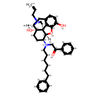 C=CCN1CC[C@]23c4c5ccc(O)c4O[C@H]2[C@@H](N(CCCCCCc2ccccc2)CC(=O)c2ccccc2)CC[C@@]3(O)[C@H]1C5